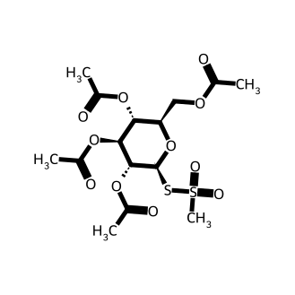 CC(=O)OC[C@H]1O[C@@H](SS(C)(=O)=O)[C@H](OC(C)=O)[C@@H](OC(C)=O)[C@@H]1OC(C)=O